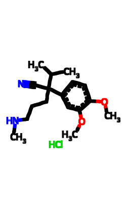 CNCCCC(C#N)(c1ccc(OC)c(OC)c1)C(C)C.Cl